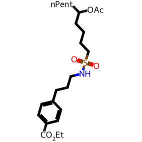 CCCCCC(CCCCS(=O)(=O)NCCCc1ccc(C(=O)OCC)cc1)OC(C)=O